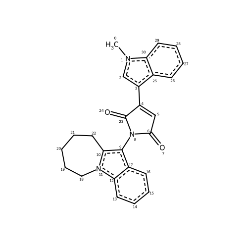 Cn1cc(C2=CC(=O)N(c3c4n(c5ccccc35)CCCCC4)C2=O)c2ccccc21